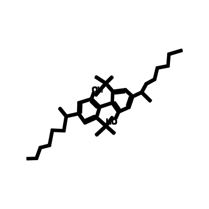 CCCCCCC(C)c1cc(O)c(-c2c(O)cc(C(C)CCCCCC)cc2C(C)(C)C)c(C(C)(C)C)c1